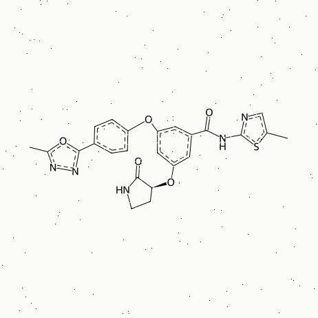 Cc1nnc(-c2ccc(Oc3cc(O[C@H]4CCNC4=O)cc(C(=O)Nc4ncc(C)s4)c3)cc2)o1